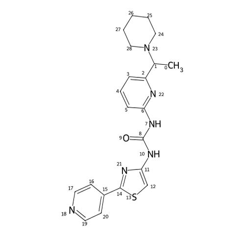 CC(c1cccc(NC(=O)Nc2csc(-c3ccncc3)n2)n1)N1CCCCC1